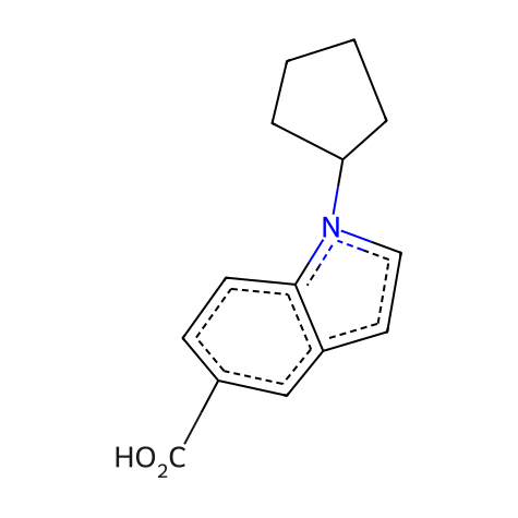 O=C(O)c1ccc2c(ccn2C2CCCC2)c1